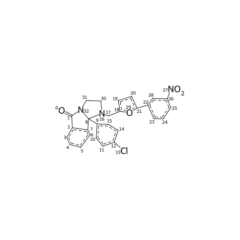 O=C1c2ccccc2C2(c3ccc(Cl)cc3)N(Cc3ccc(-c4cccc([N+](=O)[O-])c4)o3)CCN12